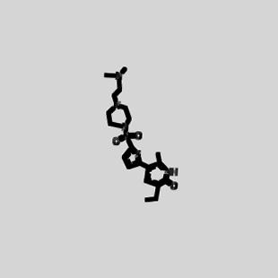 CCc1cc(-c2ccc(S(=O)(=O)N3CCN(CCN(C)C)CC3)s2)c(C)[nH]c1=O